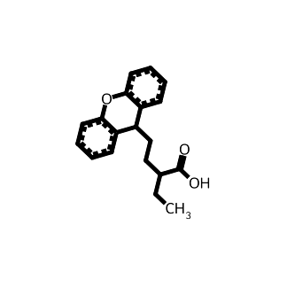 CCC(CCC1c2ccccc2Oc2ccccc21)C(=O)O